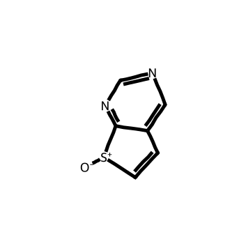 [O-][s+]1ccc2cncnc21